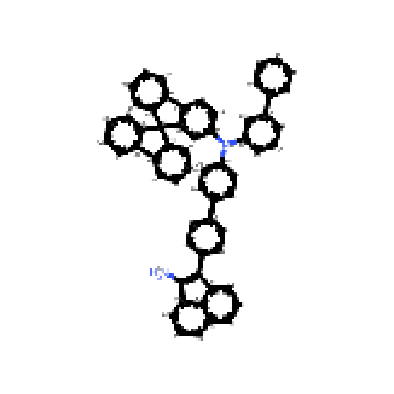 NC1=C(c2ccc(-c3ccc(N(c4cccc(-c5ccccc5)c4)c4ccc5c(c4)C4(c6ccccc6-c6ccccc64)c4ccccc4-5)cc3)cc2)c2cccc3cccc1c23